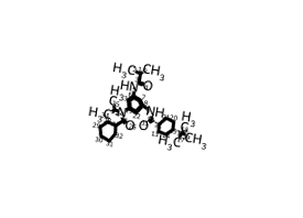 CC(C)C(=O)Nc1cc(NC(=O)[C@H]2CC[C@@H](C(C)(C)C)CC2)cc(N(C(=O)C2CCCCC2)C(C)C)c1